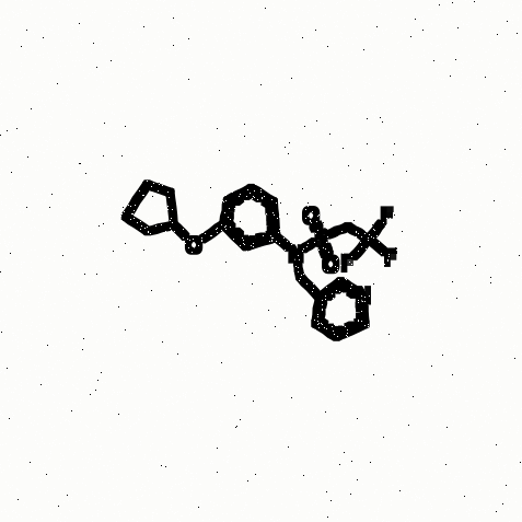 O=S(=O)(CC(F)(F)F)N(Cc1cccnc1)c1cccc(OC2CCCC2)c1